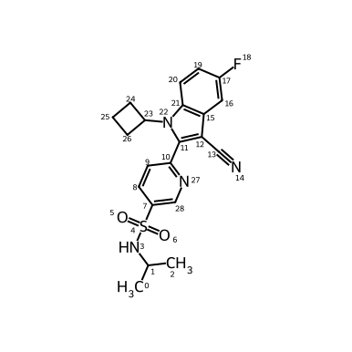 CC(C)NS(=O)(=O)c1ccc(-c2c(C#N)c3cc(F)ccc3n2C2CCC2)nc1